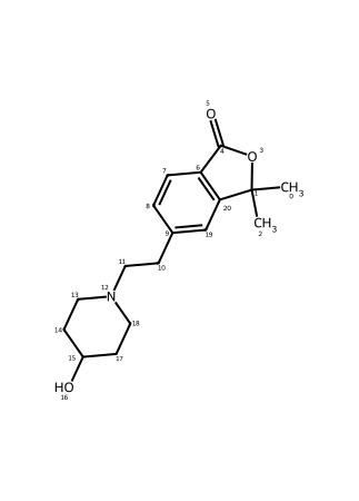 CC1(C)OC(=O)c2ccc(CCN3CCC(O)CC3)cc21